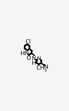 Cc1cc(NCc2cc3cc(Cl)ccc3[nH]c2=O)ncc1C#N